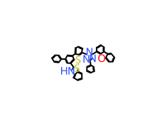 c1ccc(-c2cc(C3Nc4ccccc4S3)c3sc4c(-c5nc(-c6ccccc6)nc(-c6cccc7c6oc6ccccc67)n5)cccc4c3c2)cc1